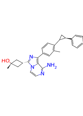 Cc1cc(-c2nc([C@H]3C[C@@](C)(O)C3)n3ccnc(N)c23)ccc1C1C[C@H]1c1ccccc1